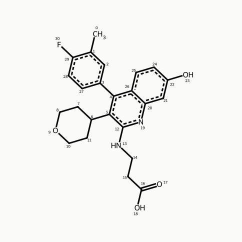 Cc1cc(-c2c(C3CCOCC3)c(NCCC(=O)O)nc3cc(O)ccc23)ccc1F